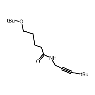 CC(C)(C)C#CCNC(=O)CCCCOC(C)(C)C